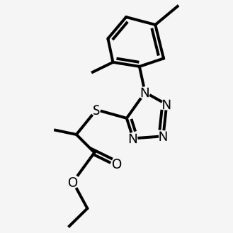 CCOC(=O)C(C)Sc1nnnn1-c1cc(C)ccc1C